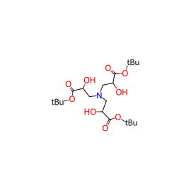 CC(C)(C)OC(=O)C(O)CN(CC(O)C(=O)OC(C)(C)C)CC(O)C(=O)OC(C)(C)C